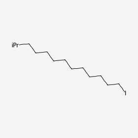 CC(C)CCCCCCCCCCCI